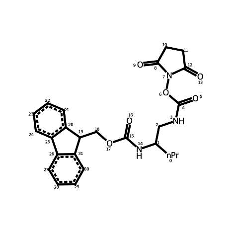 CCCC(CNC(=O)ON1C(=O)CCC1=O)NC(=O)OCC1c2ccccc2-c2ccccc21